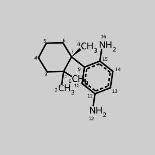 CC1(C)CCCC[C@]1(C)c1cc(N)ccc1N